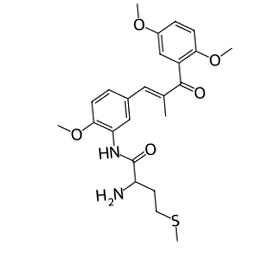 COc1ccc(OC)c(C(=O)C(C)=Cc2ccc(OC)c(NC(=O)C(N)CCSC)c2)c1